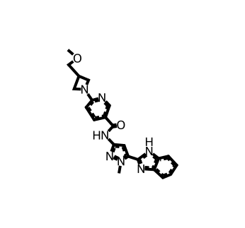 COCC1CN(c2ccc(C(=O)Nc3cc(-c4nc5ccccc5[nH]4)n(C)n3)cn2)C1